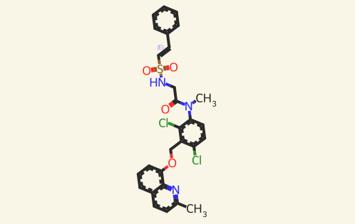 Cc1ccc2cccc(OCc3c(Cl)ccc(N(C)C(=O)CNS(=O)(=O)/C=C/c4ccccc4)c3Cl)c2n1